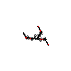 C=CCCCCSC(C)C(=O)OCCOC(=O)CCN(CCO)CCCN(CCC(=O)OCCOC(=O)C(C)SCCCCC=C)CCC(=O)OCCOC(=O)C(C)SCCCCC=C